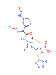 CCCON=C(C(=O)NC1C(=O)N2CC(C(=O)O)(C(C)Sc3nnn[nH]3)CS[C@H]12)c1cccc(NC=O)n1